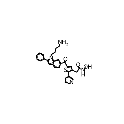 NCCCCn1c(-c2ccccc2)cc2ccc(C(=O)c3cc(CC(=O)NO)c(-c4cccnc4)s3)cc21